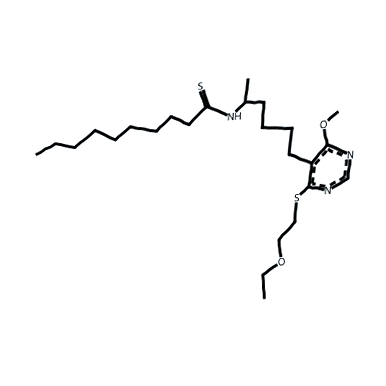 CCCCCCCCCC(=S)NC(C)CCCCc1c(OC)ncnc1SCCOCC